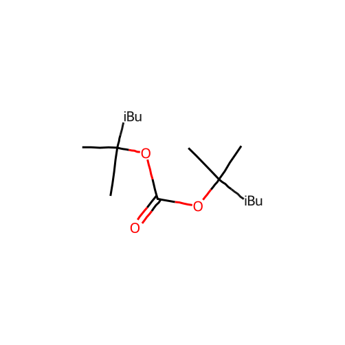 CCC(C)C(C)(C)OC(=O)OC(C)(C)C(C)CC